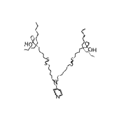 CCCCCCC(CCCC)(CCCCSSCCCCCCN(CCCCCCSSCCCCC(CCCC)(CCCCCC)C(=O)O)c1ccncc1)C(=O)O